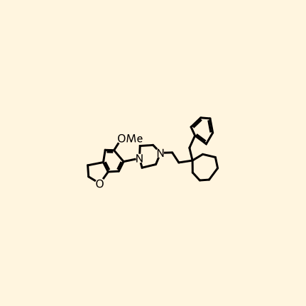 COc1cc2c(cc1N1CCN(CCC3(Cc4ccccc4)CCCCCC3)CC1)OCC2